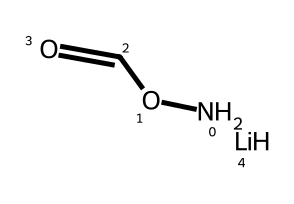 NOC=O.[LiH]